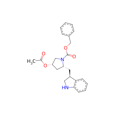 CC(=O)O[C@H]1C[C@@H](C[C@@H]2CNc3ccccc32)N(C(=O)OCc2ccccc2)C1